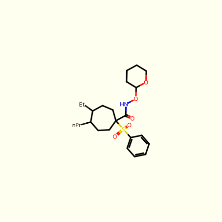 CCCC1CCC(C(=O)NOC2CCCCO2)(S(=O)(=O)c2ccccc2)CCC1CC